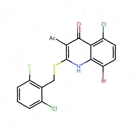 CC(=O)c1c(SCc2c(F)cccc2Cl)[nH]c2c(Br)ccc(Cl)c2c1=O